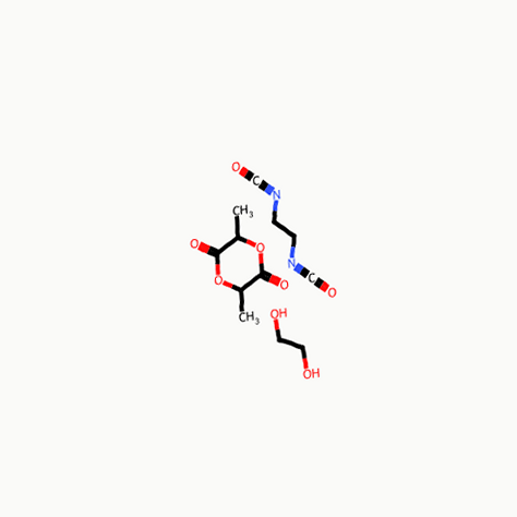 CC1OC(=O)C(C)OC1=O.O=C=NCCN=C=O.OCCO